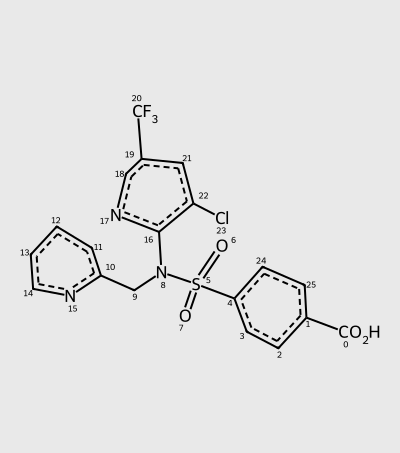 O=C(O)c1ccc(S(=O)(=O)N(Cc2ccccn2)c2ncc(C(F)(F)F)cc2Cl)cc1